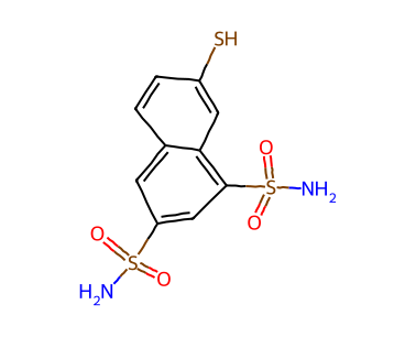 NS(=O)(=O)c1cc(S(N)(=O)=O)c2cc(S)ccc2c1